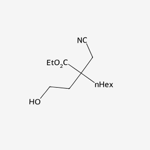 CCCCCCC(CC#N)(CCO)C(=O)OCC